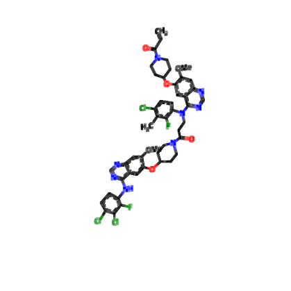 C=CC(=O)N1CCC(Oc2cc3c(N(CCC(=O)N4CCC(Oc5cc6c(Nc7ccc(Cl)c(Cl)c7F)ncnc6cc5OC)CC4)c4ccc(Cl)c(C)c4F)ncnc3cc2OC)CC1